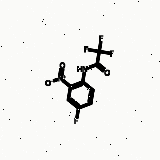 O=C(Nc1ccc(F)cc1[N+](=O)[O-])C(F)(F)F